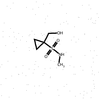 CNS(=O)(=O)C1(CO)CC1